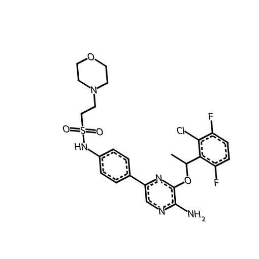 CC(Oc1nc(-c2ccc(NS(=O)(=O)CCN3CCOCC3)cc2)cnc1N)c1c(F)ccc(F)c1Cl